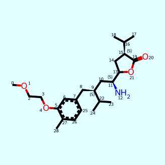 COCCOc1cc(C[C@@H](C[C@H](N)C2C[C@@H](C(C)C)C(=O)O2)C(C)C)ccc1C